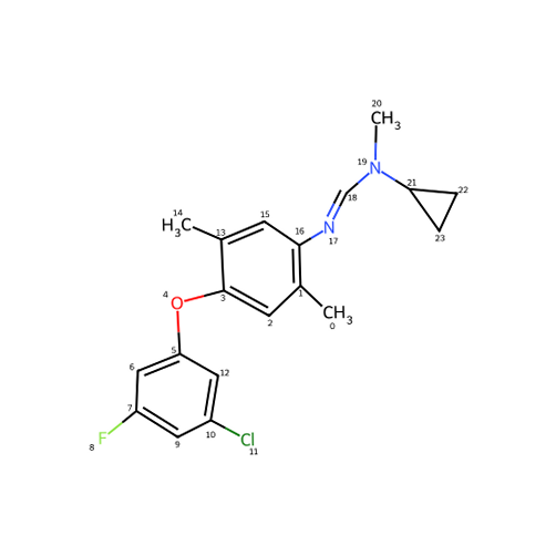 Cc1cc(Oc2cc(F)cc(Cl)c2)c(C)cc1N=CN(C)C1CC1